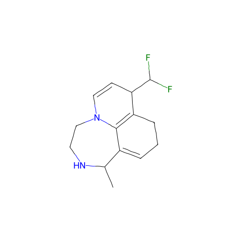 CC1NCCN2C=CC(C(F)F)C3=C2C1=CCC3